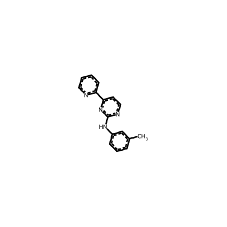 Cc1cccc(Nc2nccc(-c3ccccn3)n2)c1